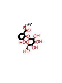 CCCOC(=O)c1cccc(O)c1O[C@@H]1O[C@H](CO)[C@@H](O)[C@H](O)[C@H]1O